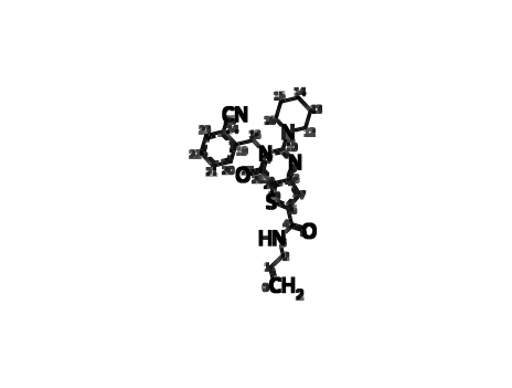 C=CCNC(=O)c1cc2nc(N3CCCCC3)n(Cc3ccccc3C#N)c(=O)c2s1